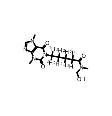 [2H]C([2H])(C(=O)N(C)CO)C([2H])([2H])C([2H])([2H])C([2H])([2H])n1c(=O)c2c(ncn2C)n(C)c1=O